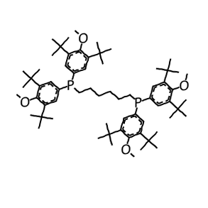 COc1c(C(C)(C)C)cc(P(CCCCCCP(c2cc(C(C)(C)C)c(OC)c(C(C)(C)C)c2)c2cc(C(C)(C)C)c(OC)c(C(C)(C)C)c2)c2cc(C(C)(C)C)c(OC)c(C(C)(C)C)c2)cc1C(C)(C)C